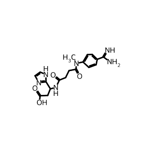 CN(C(=O)CCC(=O)NC(CC(=O)O)c1ncc[nH]1)c1ccc(C(=N)N)cc1